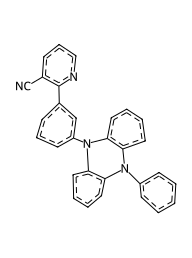 N#Cc1cccnc1-c1cccc(N2c3ccccc3N(c3ccccc3)c3ccccc32)c1